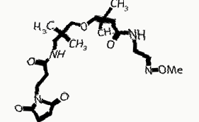 CON=CCNC(=O)CC(C)(C)COCC(C)(C)CNC(=O)CCN1C(=O)C=CC1=O